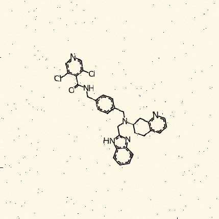 O=C(NCc1ccc(CN(Cc2nc3ccccc3[nH]2)C2CCc3cccnc3C2)cc1)c1c(Cl)cncc1Cl